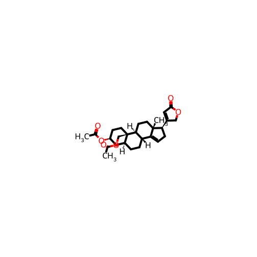 CC(=O)OC[C@]12CC[C@H](OC(C)=O)C[C@@H]1CC[C@H]1C3=CC[C@H](C4=CC(=O)OC4)[C@@]3(C)CC[C@@H]12